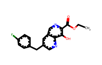 CCOC(=O)c1ncc2cc(Cc3ccc(F)cc3)cnc2c1O